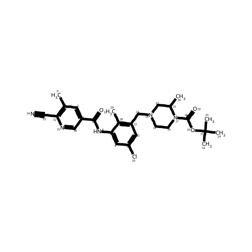 Cc1cc(C(=O)Nc2cc(Cl)cc(CN3CCN(C(=O)OC(C)(C)C)C(C)C3)c2C)cnc1C#N